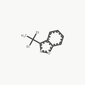 CCC(C)(CC)c1noc2ccccc12